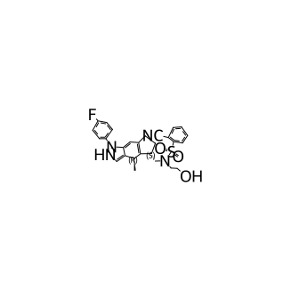 C[C@H]1C2=CNN(c3ccc(F)cc3)C2=CC2=C1[C@@H](CN(CCO)S(=O)(=O)c1ccccc1C#N)CC2